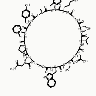 CC(C)[C@@H]1NC(=O)[C@H](CC(=O)O)NC(=O)[C@H](CS)NC(=O)[C@@H](Cc2c[nH]c3ccccc23)NC(=O)CSC[C@@H](C(=O)NCC(N)=O)NC(=O)[C@@H]2CCCN2C(=O)[C@H](Cc2ccccc2)N(C)C(=O)[C@H](Cc2ccc(O)cc2)NC(=O)CN(C)C(=O)[C@H](Cc2ccccc2)N(C)C(=O)[C@H](CCCNC(=N)N)NC(=O)CNC(=O)[C@H](CO)N(C)C1=O